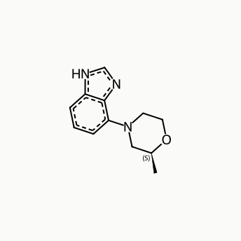 C[C@H]1CN(c2cccc3[nH]cnc23)CCO1